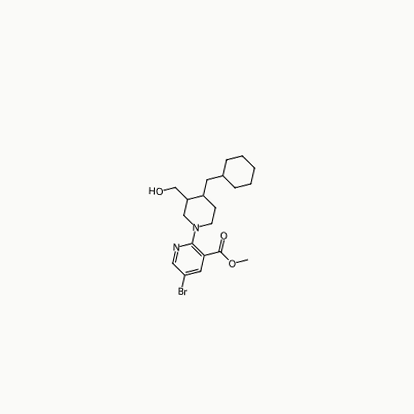 COC(=O)c1cc(Br)cnc1N1CCC(CC2CCCCC2)C(CO)C1